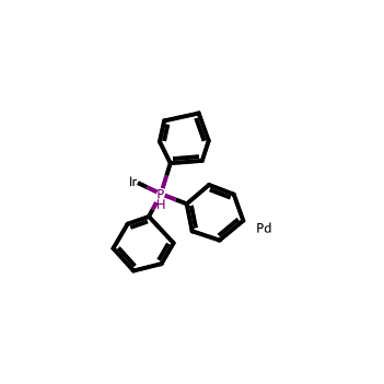 [Ir][PH](c1ccccc1)(c1ccccc1)c1ccccc1.[Pd]